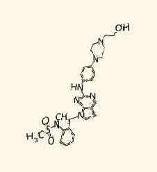 CN(c1ccccc1Cn1ccc2cnc(Nc3ccc(N4CCN(CCO)CC4)cc3)nc21)S(C)(=O)=O